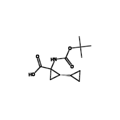 CC(C)(C)OC(=O)NC1(C(=O)O)C[C@H]1C1CC1